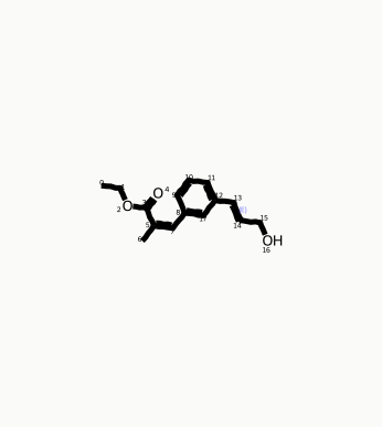 CCOC(=O)C(C)=Cc1cccc(/C=C/CO)c1